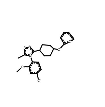 COc1cc(Cl)ccc1-n1c(C)nnc1C1CCC(Oc2ccccc2)CC1